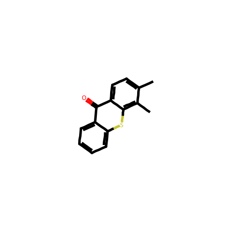 Cc1ccc2c(=O)c3ccccc3sc2c1C